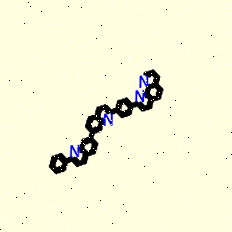 c1ccc(-c2ccc3ccc(-c4ccc5ccc(-c6ccc(-c7ccc8ccc9cccnc9c8n7)cc6)nc5c4)cc3n2)cc1